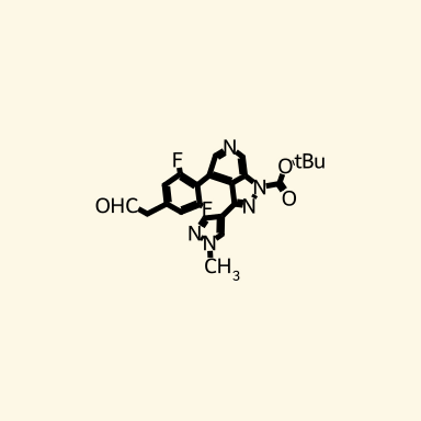 Cn1cc(-c2nn(C(=O)OC(C)(C)C)c3cncc(-c4c(F)cc(CC=O)cc4F)c23)cn1